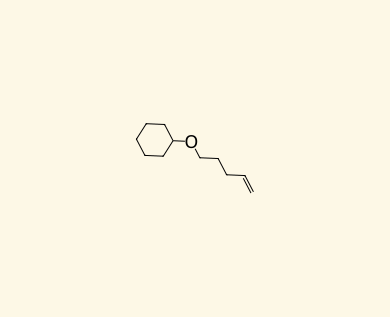 C=CCCCOC1CCCCC1